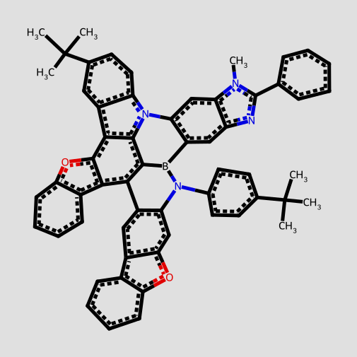 Cn1c(-c2ccccc2)nc2cc3c(cc21)-n1c2ccc(C(C)(C)C)cc2c2c4oc5ccccc5c4c4c(c21)B3N(c1ccc(C(C)(C)C)cc1)c1cc2oc3ccccc3c2cc1-4